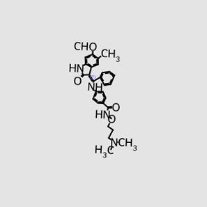 Cc1cc2c(cc1C=O)NC(=O)/C2=C(\Nc1ccc(C(=O)NOCCCN(C)C)cc1)c1ccccc1